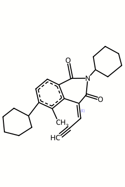 C#C/C=C1/C(=O)N(C2CCCCC2)C(=O)c2ccc(C3CCCCC3)c(C)c21